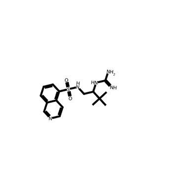 CC(C)(C)C(CNS(=O)(=O)c1cccc2cnccc12)NC(=N)N